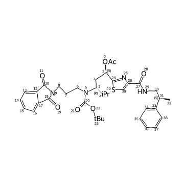 CC(=O)O[C@H](C[C@H](C(C)C)N(CCCN1C(=O)c2ccccc2C1=O)C(=O)OC(C)(C)C)c1nc(C(=O)NC[C@@H](C)c2ccccc2)cs1